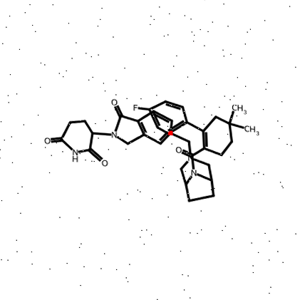 CC1(C)CCC(C(=O)N2C3CCC2CN(Cc2ccc4c(c2)CN(C2CCC(=O)NC2=O)C4=O)C3)=C(c2ccc(F)cc2)C1